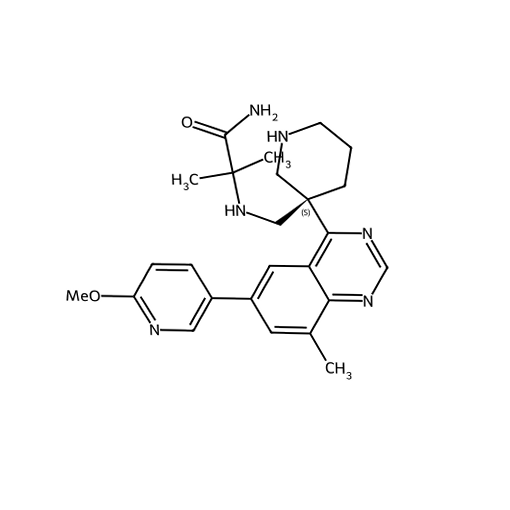 COc1ccc(-c2cc(C)c3ncnc([C@@]4(CNC(C)(C)C(N)=O)CCCNC4)c3c2)cn1